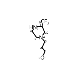 [O]CCCN1CCNC(C(F)(F)F)C1